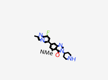 CNc1cc(-c2cc(F)c3nc(C)cn3c2)cc2ncn(C3CCNCC3)c(=O)c12